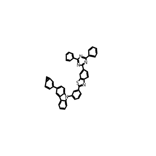 C1=c2ccc(-c3ccc4c(c3)c3ccccc3n4-c3cccc(-c4nc5ccc(-c6nc(-c7ccccc7)nc(-c7ccccc7)n6)cc5s4)c3)cc2=1